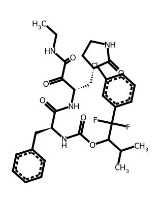 CCNC(=O)C(=O)[C@H](C[C@@H]1CCNC1=O)NC(=O)[C@H](Cc1ccccc1)NC(=O)OC(C(C)C)C(F)(F)c1cccc(Cl)c1